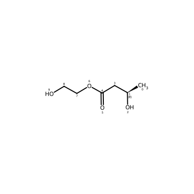 C[C@@H](O)CC(=O)OCCO